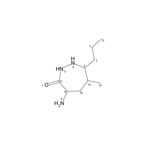 CCCC1NNC(=O)C(N)CC1C